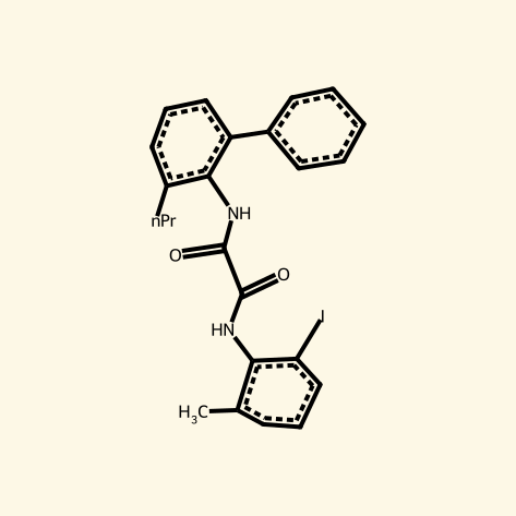 CCCc1cccc(-c2ccccc2)c1NC(=O)C(=O)Nc1c(C)cccc1I